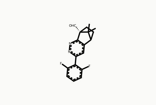 CC1(C)C2CC[C@]1(C=O)c1nnc(-c3c(F)cccc3F)cc12